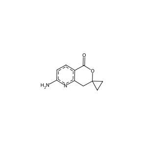 Nc1ccc2c(n1)CC1(CC1)OC2=O